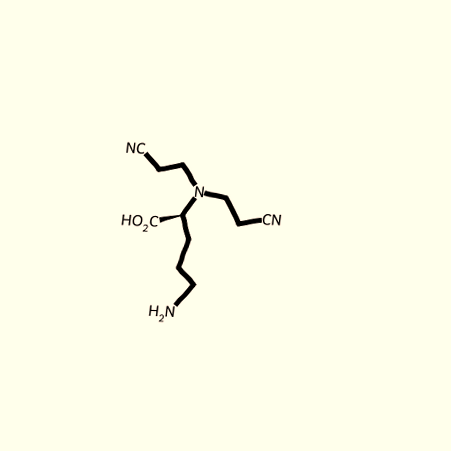 N#CCCN(CCC#N)[C@@H](CCCN)C(=O)O